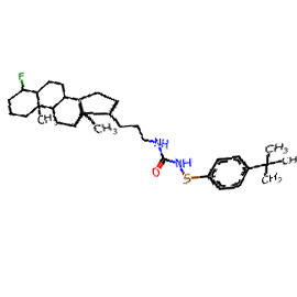 CC(C)(C)c1ccc(SNC(=O)NCCCC2CCC3C4CCC5C(F)CCCC5(C)C4CCC23C)cc1